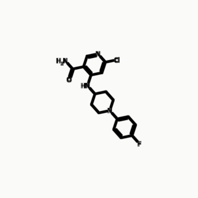 NC(=O)c1cnc(Cl)cc1NC1CCN(c2ccc(F)cc2)CC1